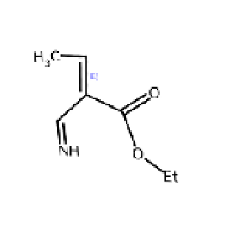 C/C=C(\C=N)C(=O)OCC